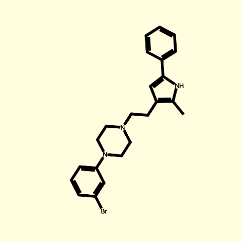 Cc1[nH]c(-c2ccccc2)cc1CCN1CCN(c2cccc(Br)c2)CC1